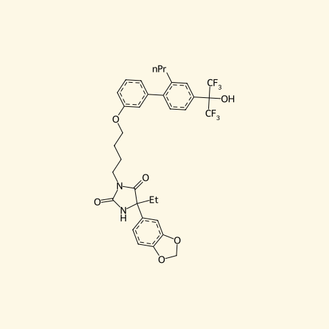 CCCc1cc(C(O)(C(F)(F)F)C(F)(F)F)ccc1-c1cccc(OCCCCN2C(=O)NC(CC)(c3ccc4c(c3)OCO4)C2=O)c1